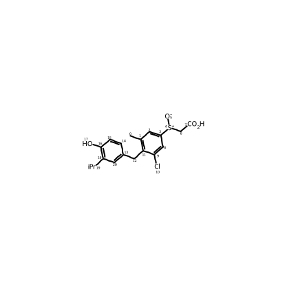 Cc1cc([S+]([O-])CC(=O)O)cc(Cl)c1Cc1ccc(O)c(C(C)C)c1